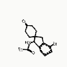 CCC(=O)NC1c2cccc(CC)c2CC12CCC(=O)CC2